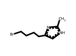 Cc1nc(CCCCBr)c[nH]1